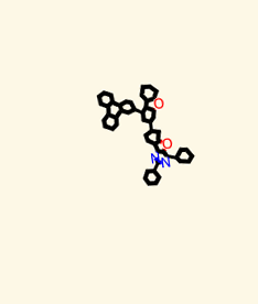 c1ccc(-c2nc(-c3ccccc3)c3oc4cc(-c5cc(-c6ccc7c8ccccc8c8ccccc8c7c6)c6c(c5)oc5ccccc56)ccc4c3n2)cc1